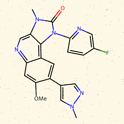 COc1cc2ncc3c(c2cc1-c1cnn(C)c1)n(-c1ccc(F)cn1)c(=O)n3C